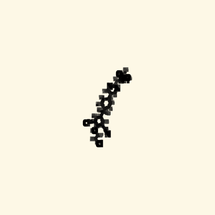 CC(C)(c1ccc(-c2cnc(CNS(C)(=O)=O)nc2)cc1)c1cc(Cl)c(OCCCl)c(C#N)c1